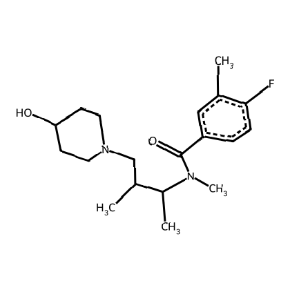 Cc1cc(C(=O)N(C)C(C)C(C)CN2CCC(O)CC2)ccc1F